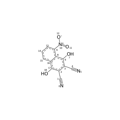 N#Cc1c(C#N)c(O)c2c([N+](=O)[O-])cccc2c1O